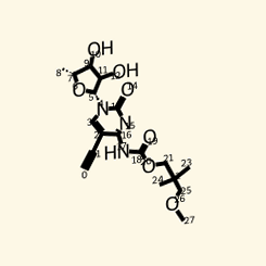 C#Cc1cn([C@@H]2O[C@H](C)C(O)C2O)c(=O)nc1NC(=O)OCC(C)(C)COC